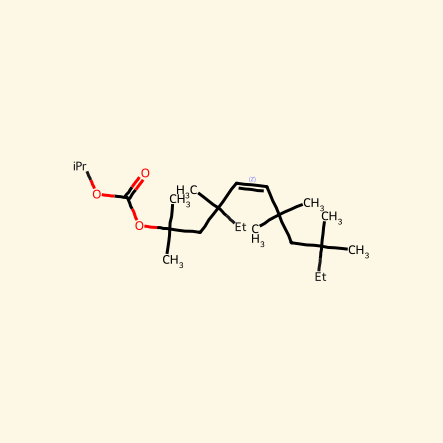 CCC(C)(C)CC(C)(C)/C=C\C(C)(CC)CC(C)(C)OC(=O)OC(C)C